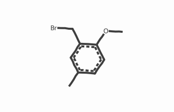 COc1ccc(C)cc1CBr